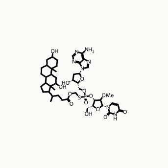 COC1[C@@H](OP(=O)(OC[C@H]2O[C@@H](n3cnc4c(N)ncnc43)C[C@H]2O)SCOC(=O)CCC(C)C2CCC3C4CCC5CC(O)CCC5(C)C4CC(O)C23C)[C@@H](CO)O[C@H]1n1ccc(=O)[nH]c1=O